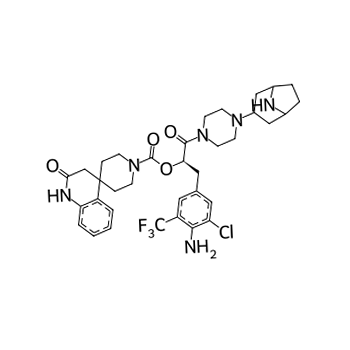 Nc1c(Cl)cc(C[C@@H](OC(=O)N2CCC3(CC2)CC(=O)Nc2ccccc23)C(=O)N2CCN(C3CC4CCC(C3)N4)CC2)cc1C(F)(F)F